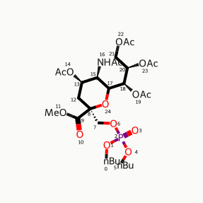 CCCCOP(=O)(OCCCC)OC[C@]1(C(=O)OC)C[C@@H](OC(C)=O)[C@@H](NC(C)=O)C([C@H](OC(C)=O)[C@@H](COC(C)=O)OC(C)=O)O1